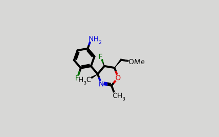 COC[C@H]1OC(C)=N[C@](C)(c2cc(N)ccc2F)[C@H]1F